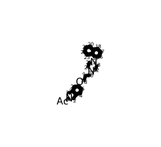 CC(=O)N1Cc2ccc(OCCCN3CCN(c4cccc5ccccc45)CC3)cc2C1